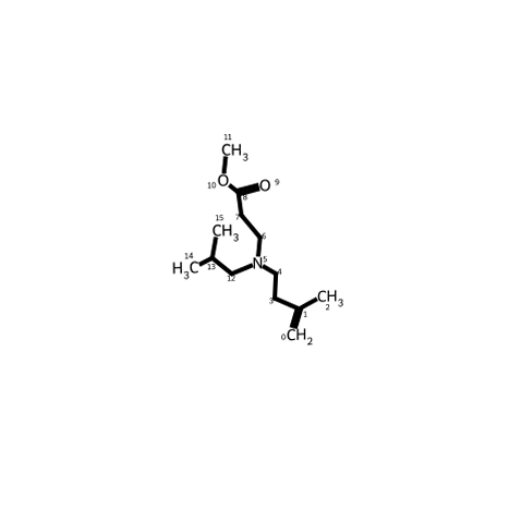 C=C(C)CCN(CCC(=O)OC)CC(C)C